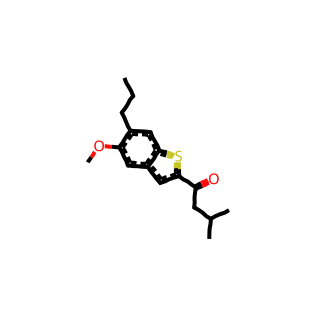 CCCc1cc2sc(C(=O)CC(C)C)cc2cc1OC